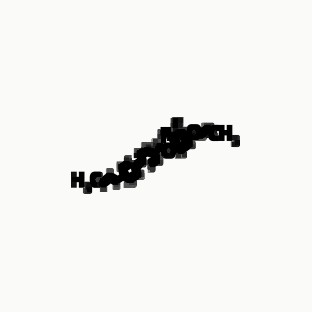 CCCC[C@H]1CC[C@H]([C@H]2CC[C@H](COc3ccc(OCCC)c(F)c3F)CC2)CC1